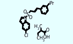 CC(C)c1cccc(C=CCS(=O)(=O)n2ccc3cc(Cl)ccc32)c1.CCC(C)C(=O)O